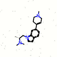 C[C@H](Cn1ccc2ccc(C3=CCN(C)CC3)cc21)N(C)C